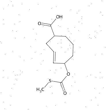 CSC(=O)OC1/C=C/CC(C(=O)O)CCC1